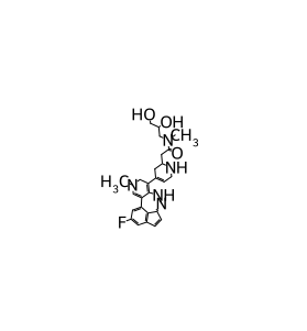 CN1C=C2C(=C(C3=CCNC(CC(=O)N(C)CC(O)CO)C3)C1)NN=C1C=Cc3cc(F)cc2c31